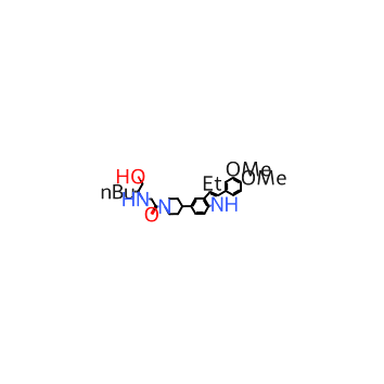 CCCCC(CO)NCC(=O)N1CCC(c2ccc3[nH]c(-c4ccc(OC)c(OC)c4)c(CC)c3c2)CC1